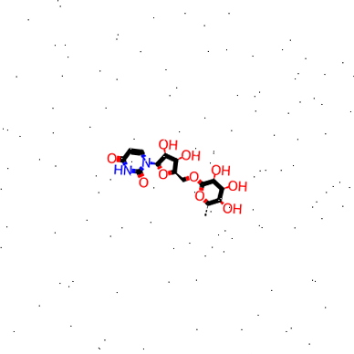 C[C@@H]1OC(OC[C@H]2O[C@@H](n3ccc(=O)[nH]c3=O)[C@H](O)[C@@H]2O)[C@H](O)[C@H](O)[C@H]1O